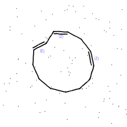 [CH]1C/C=C\C/C=C\C=C\CCCC1